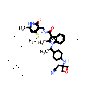 CSc1cc(C)[nH]c(=O)c1CNC(=O)c1c(C)n([C@H](C)C2CCC(NC3(CC#N)COC3)CC2)c2ccccc12